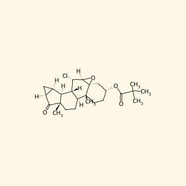 CC(C)(C)C(=O)O[C@@H]1CC[C@]2(C)[C@H]3CC[C@]4(C)C(=O)[C@H]5C[C@H]5[C@H]4[C@@H]3[C@H](Cl)[C@H]3O[C@]32C1